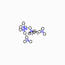 C=C(/C=C\C(=C/C)c1ccc2c(c1)c1ccccc1n2-c1ccccc1)N(c1ccccc1)c1cccc(-c2cc(-c3ccccc3-c3ccccc3)nc(N(c3ccccc3)c3ccc(-c4ccc5c(c4)c4ccccc4n5-c4ccccc4)cc3)n2)c1